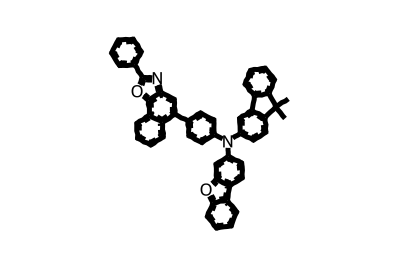 CC1(C)c2ccccc2-c2cc(N(c3ccc(-c4cc5nc(-c6ccccc6)oc5c5ccccc45)cc3)c3ccc4c(c3)oc3ccccc34)ccc21